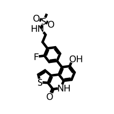 CS(=O)(=O)NCCc1ccc(-c2c(O)ccc3[nH]c(=O)c4sccc4c23)cc1F